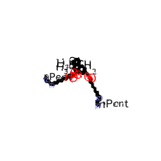 CCCCC/C=C\C/C=C\CCCCCCCC(=O)OCC1=CCC2C3(C)CCCC(C)(C)C3CCC2(COC(=O)CCCCCCC/C=C\C/C=C\CCCCC)C(O)C1